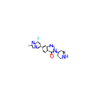 Cc1cn2cc(-c3ccc4c(=O)n(C5CCN[C@@H](C)C5)cnc4c3)cc(F)c2n1